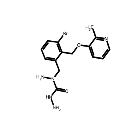 Cc1ncccc1OCc1c(Br)cccc1CN(N)C(=O)NN